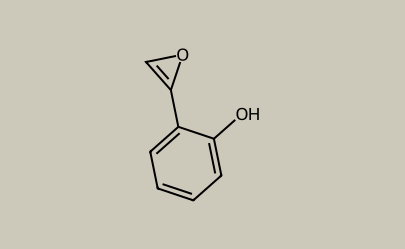 Oc1ccccc1C1=CO1